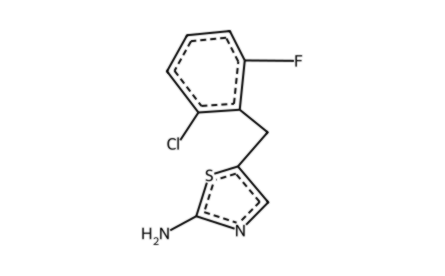 Nc1ncc(Cc2c(F)cccc2Cl)s1